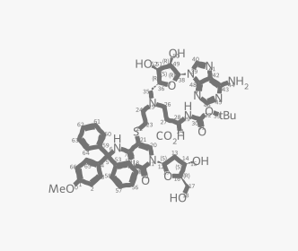 COc1ccc(C(Nc2nc(=O)n([C@@H]3C[C@H](O)[C@@H](CO)O3)cc2SCCN(CCC(NC(=O)OC(C)(C)C)C(=O)O)C[C@H]2O[C@@H](n3cnc4c(N)ncnc43)[C@H](O)[C@@H]2O)(c2ccccc2)c2ccccc2)cc1